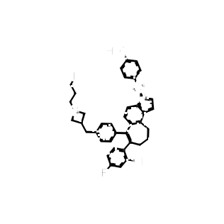 Cc1ccc(S(=O)(=O)n2ccc3c4c(ccc32)C(c2ccc(CC3CN(CCCF)C3)cc2)=C(c2ccc(F)cc2C)CCC4)cc1